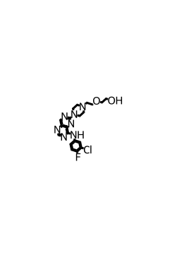 OCCOCCN1CCN(c2ncc3ncnc(Nc4ccc(F)c(Cl)c4)c3n2)CC1